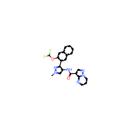 Cn1cc(NC(=O)c2cnn3cccnc23)c(-c2cc3ccccc3cc2OC(F)F)n1